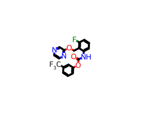 O=C(Nc1cccc(F)c1COc1cnccn1)Oc1cccc(C(F)(F)F)c1